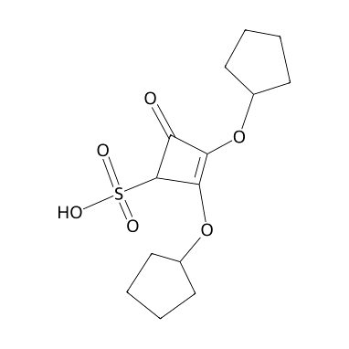 O=C1C(OC2CCCC2)=C(OC2CCCC2)C1S(=O)(=O)O